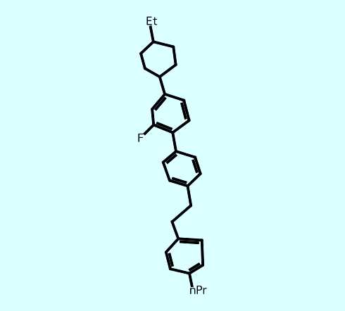 CCCc1ccc(CCc2ccc(-c3ccc(C4CCC(CC)CC4)cc3F)cc2)cc1